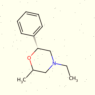 CCN1CC(C)O[C@H](c2ccccc2)C1